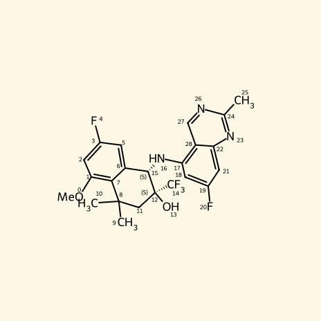 COc1cc(F)cc2c1C(C)(C)C[C@@](O)(C(F)(F)F)[C@H]2Nc1cc(F)cc2nc(C)ncc12